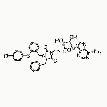 Nc1ncnc2c1ncn2[C@@H]1O[C@H](CCN2C(=O)C(Cc3ccccc3)N(Cc3ccccc3Sc3ccc(Cl)cc3)C2=O)[C@@H](O)C1O